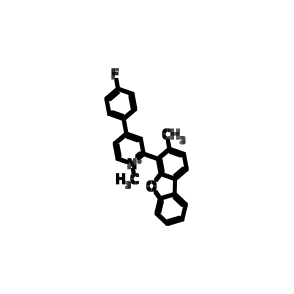 Cc1ccc2c(oc3ccccc32)c1-c1cc(-c2ccc(F)cc2)cc[n+]1C